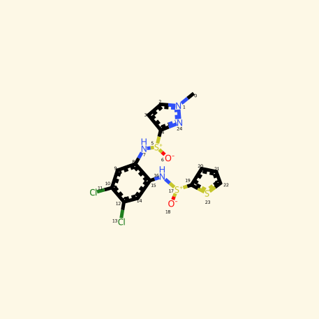 Cn1ccc([S+]([O-])Nc2cc(Cl)c(Cl)cc2N[S+]([O-])c2cccs2)n1